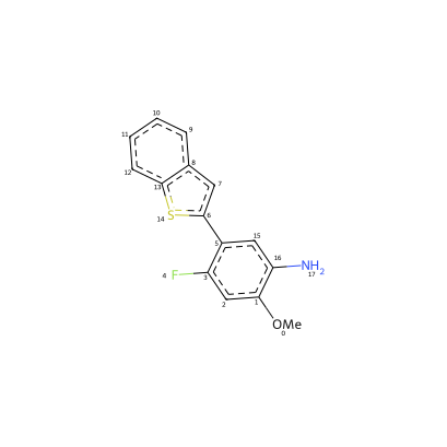 COc1cc(F)c(-c2cc3ccccc3s2)cc1N